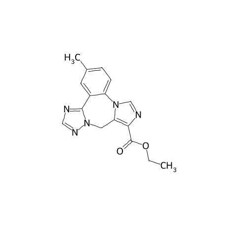 CCOC(=O)c1ncn2c1Cn1ncnc1-c1cc(C)ccc1-2